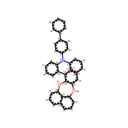 c1ccc(-c2ccc(N(c3ccccc3)c3ccccc3-c3cccc4c3Oc3cccc5cccc(c35)O4)cc2)cc1